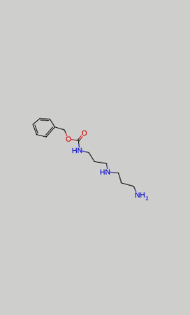 NCCCNCCCNC(=O)OCc1ccccc1